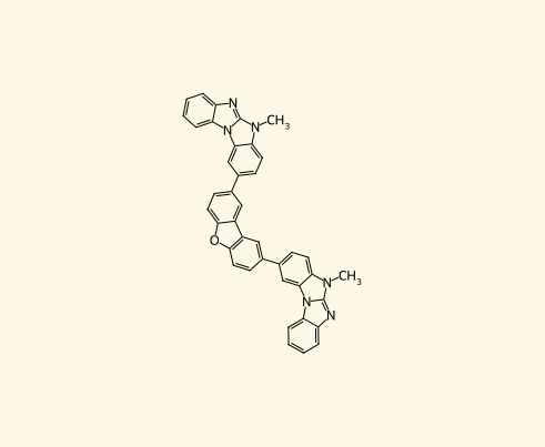 Cn1c2ccc(-c3ccc4oc5ccc(-c6ccc7c(c6)n6c8ccccc8nc6n7C)cc5c4c3)cc2n2c3ccccc3nc12